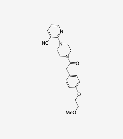 COCCOc1ccc(CC(=O)N2CCN(c3ncccc3C#N)CC2)cc1